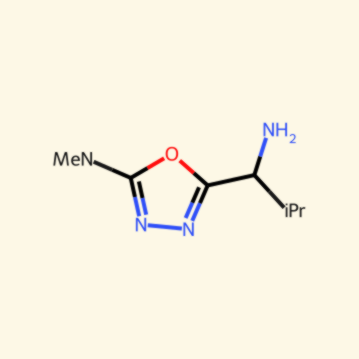 CNc1nnc(C(N)C(C)C)o1